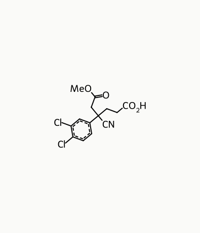 COC(=O)CC(C#N)(CCC(=O)O)c1ccc(Cl)c(Cl)c1